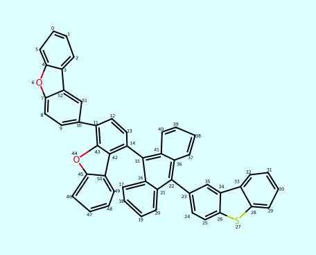 c1ccc2c(c1)oc1ccc(-c3ccc(-c4c5ccccc5c(-c5ccc6sc7ccccc7c6c5)c5ccccc45)c4c3oc3ccccc34)cc12